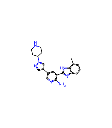 Cc1cccc2nc(-c3cc(-c4cnn(C5CCNCC5)c4)cnc3N)[nH]c12